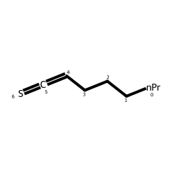 CCCCCCC=C=S